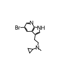 CN(CCc1c[nH]c2ncc(Br)cc12)C1CC1